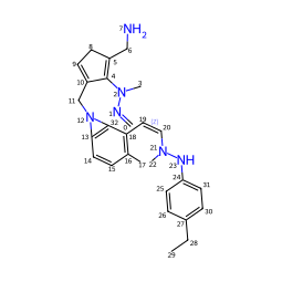 C=NN(C)C1=C(CN)CC=C1CN1c2ccc(C)c(/C=C\N(C)Nc3ccc(CC)cc3)c21